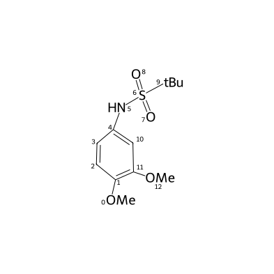 COc1ccc(NS(=O)(=O)C(C)(C)C)cc1OC